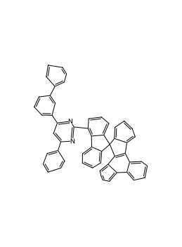 c1ccc(-c2cccc(-c3cc(-c4ccccc4)nc(-c4cccc5c4-c4ccccc4C54c5ccccc5-c5c4c4ccccc4c4ccccc54)n3)c2)cc1